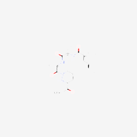 C=CC[C@@H](C)C(=O)N[C@H](C(=O)N[C@@H](C)C(=O)N1CCCC(C(=O)OC)N1)C(C)C